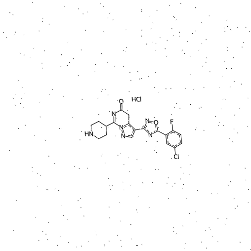 Cl.O=C1Cc2c(-c3noc(-c4cc(Cl)ccc4F)n3)cnn2C(C2CCNCC2)=N1